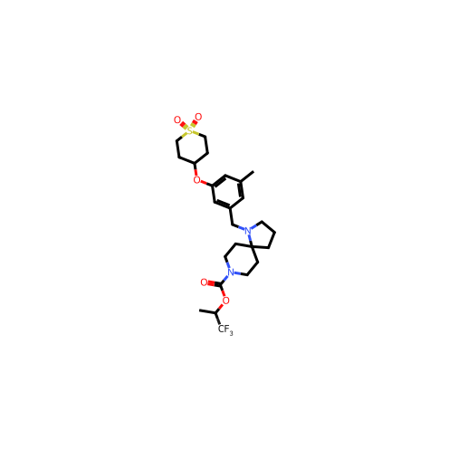 Cc1cc(CN2CCCC23CCN(C(=O)OC(C)C(F)(F)F)CC3)cc(OC2CCS(=O)(=O)CC2)c1